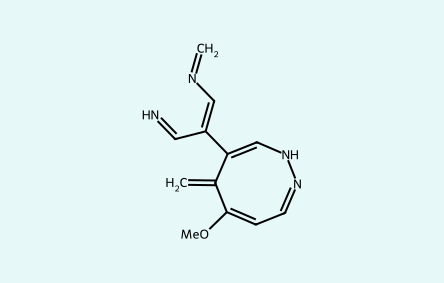 C=N/C=C(C=N)/C1=C/N/N=C\C=C(\OC)C1=C